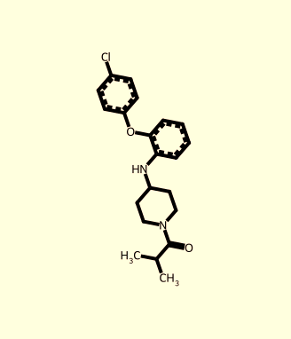 CC(C)C(=O)N1CCC(Nc2ccccc2Oc2ccc(Cl)cc2)CC1